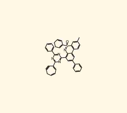 Cc1ccc2c(c1)S(=O)(C1=CCCC=C1)=Nc1c(-c3nc(C4=CC=CCC#C4)nc(-c4ccccc4)n3)cc(-c3ccccc3)cc1-2